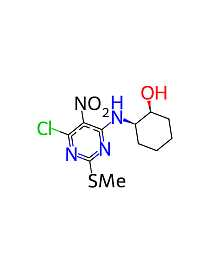 CSc1nc(Cl)c([N+](=O)[O-])c(N[C@@H]2CCCC[C@@H]2O)n1